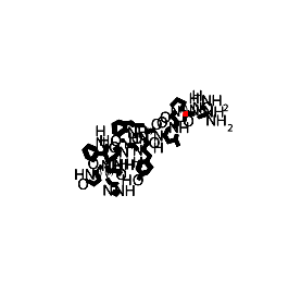 CC(C)CC(NC(=O)[C@H](Cc1cc2ccccc2[nH]1)NC(=O)C(Cc1ccc(O)cc1)NC(=O)[C@H](CO)NC(=O)C(Cc1c[nH]c2ccccc12)NC(=O)[C@H](Cc1c[nH]cn1)NC(=O)[C@H]1CCC(=O)N1)C(=O)N[C@@H](CCCNC(=N)N)C(=O)N1CCC[C@H]1C(=O)NCC(N)=O